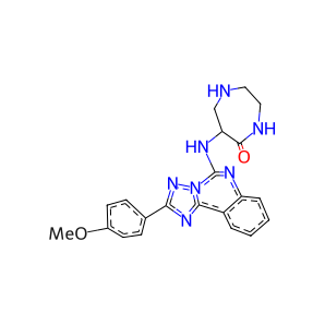 COc1ccc(-c2nc3c4ccccc4nc(NC4CNCCNC4=O)n3n2)cc1